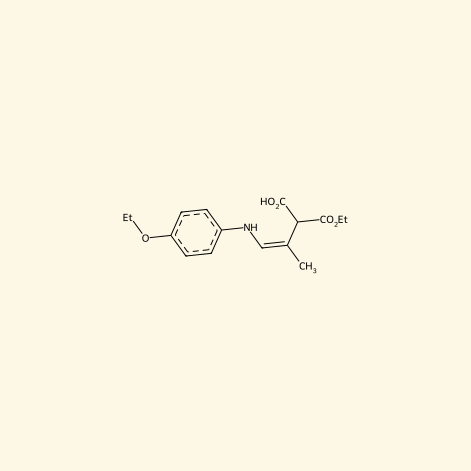 CCOC(=O)C(C(=O)O)C(C)=CNc1ccc(OCC)cc1